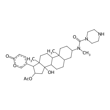 CC(=O)OC1CC2(O)C3CCC4CC(N(C)C(=O)N5CCNCC5)CCC4(C)C3CCC2(C)C1c1ccc(=O)oc1